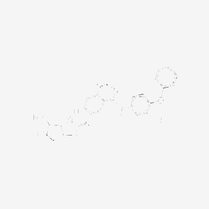 Cc1cc(Nc2ncnc3ccc(N=C4OC5CNC(C)C5N4C)cc23)ccc1Oc1ccccc1